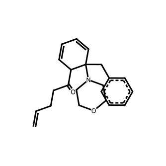 C=CCCC(=O)C1C=CC=CC1(Cc1ccccc1)N1CCOCC1